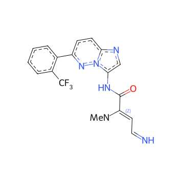 CN/C(=C\C=N)C(=O)Nc1cnc2ccc(-c3ccccc3C(F)(F)F)nn12